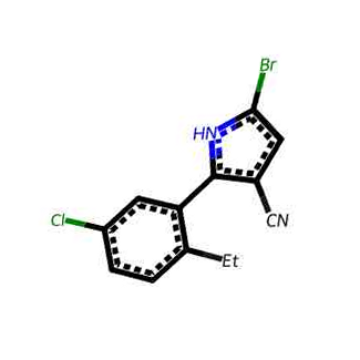 CCc1ccc(Cl)cc1-c1[nH]c(Br)cc1C#N